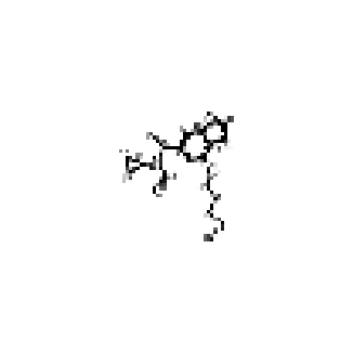 COCCCOc1cc(C(C)N(C=O)C2CC2)cc2occc12